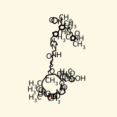 CCN(c1cc(-c2ccc(CN3CCN(CCNC(=O)CCSCCC[C@@H]4/C=C(\C)C[C@H](C)C[C@H](OC)[C@H]5O[C@@](O)(C(=O)C(=O)N6CCCC[C@H]6C(=O)OC(/C(C)=C/[C@@H]6CC[C@@H](O)[C@H](OC)C6)[C@H](C)[C@@H](O)CC4=O)[C@H](C)C[C@@H]5OC)CC3)cc2)cc(C(=O)NCc2c(C)cc(C)[nH]c2=O)c1C)C1CCOCC1